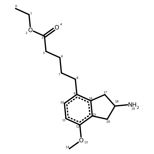 CCOC(=O)CCCCc1ccc(OC)c2c1CC(N)C2